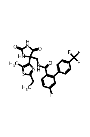 CCc1nc(C2(CNC(=O)c3ccc(F)cc3-c3ccc(C(F)(F)F)cc3)NC(=O)NC2=O)c(C)s1